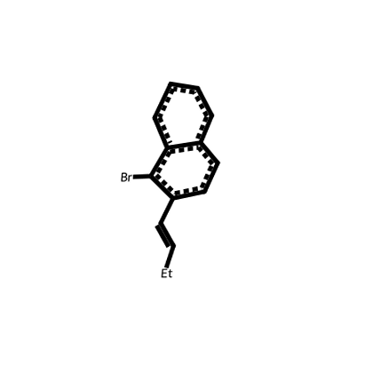 CC/C=C/c1ccc2ccccc2c1Br